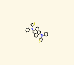 c1ccc(N(c2ccsc2)c2cc3cccc4c(N(c5ccccc5)c5ccsc5)cc5cccc2c5c34)cc1